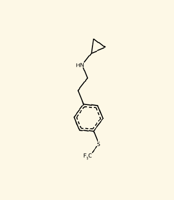 FC(F)(F)Sc1ccc(CCNC2CC2)cc1